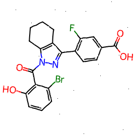 O=C(O)c1ccc(-c2nn(C(=O)c3c(O)cccc3Br)c3c2CCCC3)c(F)c1